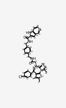 Cc1sc2c(c1C)C(c1ccc(Cl)cc1)=N[C@@H](CC(=O)NCc1ccc(CNC(=O)c3cc4cnccc4[nH]3)cc1)c1nnc(C)n1-2